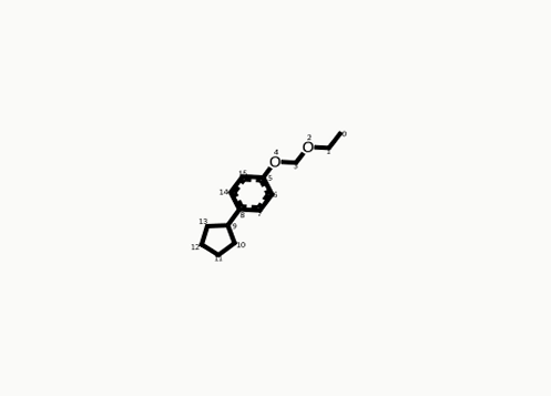 CCOCOc1ccc(C2CCCC2)cc1